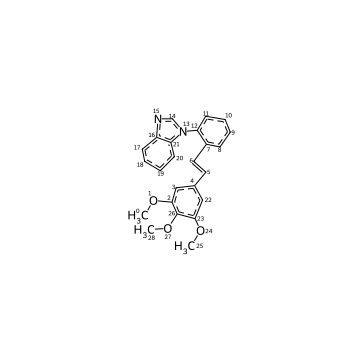 COc1cc(C=Cc2ccccc2-n2cnc3ccccc32)cc(OC)c1OC